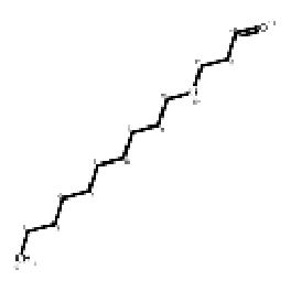 CCCCCCCCCCOCCC=O